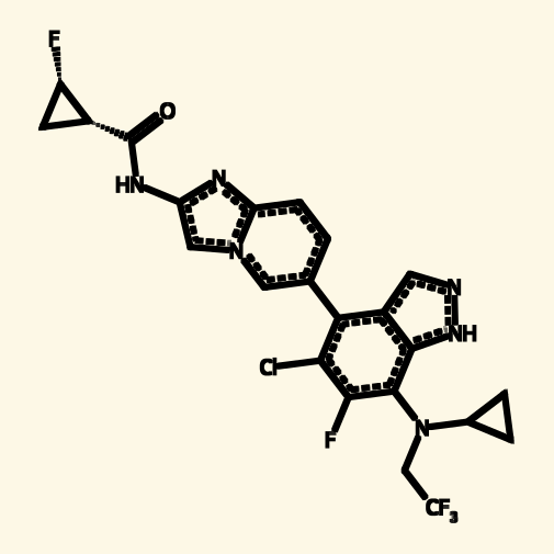 O=C(Nc1cn2cc(-c3c(Cl)c(F)c(N(CC(F)(F)F)C4CC4)c4[nH]ncc34)ccc2n1)[C@@H]1C[C@@H]1F